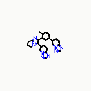 Cc1ccc(-c2ccc3ncnn3c2)cc1-c1nc2n(c1-c1ccc3ncnn3c1)CCC2